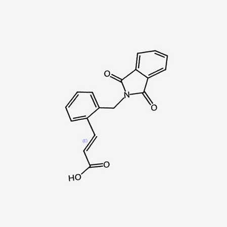 O=C(O)/C=C/c1ccccc1CN1C(=O)c2ccccc2C1=O